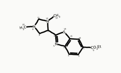 CCOC(=O)c1ccc2nc(C3CN(C)CN3C)sc2c1